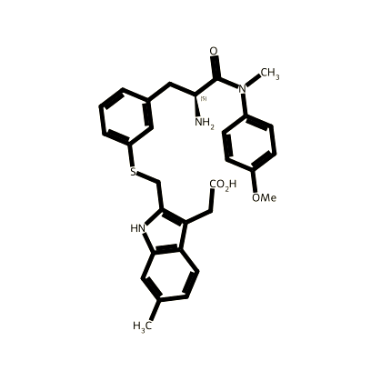 COc1ccc(N(C)C(=O)[C@@H](N)Cc2cccc(SCc3[nH]c4cc(C)ccc4c3CC(=O)O)c2)cc1